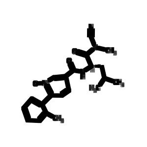 Cc1ccccc1-c1ccc(C(=O)N[C@@H](CC(C)C)C(=O)N(C)C#N)c[n+]1[O-]